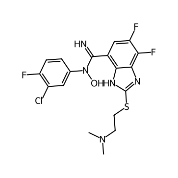 CN(C)CCSc1nc2c(F)c(F)cc(C(=N)N(O)c3ccc(F)c(Cl)c3)c2[nH]1